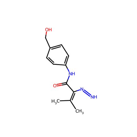 CC(C)=C(N=N)C(=O)Nc1ccc(CO)cc1